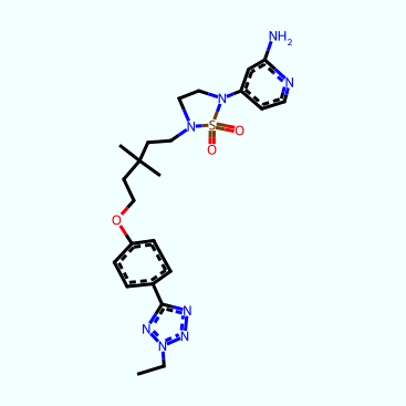 CCn1nnc(-c2ccc(OCCC(C)(C)CCN3CCN(c4ccnc(N)c4)S3(=O)=O)cc2)n1